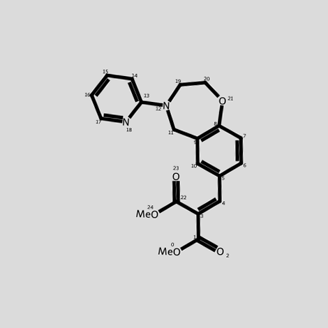 COC(=O)C(=Cc1ccc2c(c1)CN(c1ccccn1)CCO2)C(=O)OC